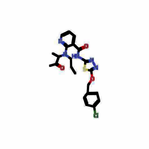 CCCN(c1ncccc1C(=O)Nc1nnc(OCc2ccc(Cl)cc2)s1)C(C)C(C)=O